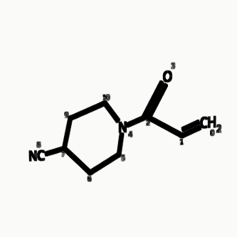 C=CC(=O)N1CCC(C#N)CC1